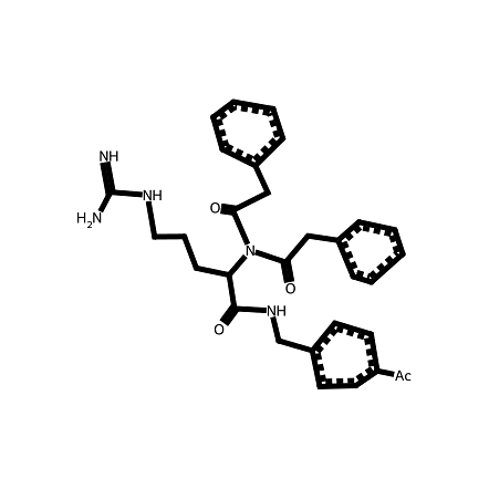 CC(=O)c1ccc(CNC(=O)C(CCCNC(=N)N)N(C(=O)Cc2ccccc2)C(=O)Cc2ccccc2)cc1